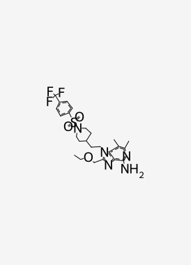 CCOCc1nc2c(N)nc(C)c(C)c2n1CCC1CCN(S(=O)(=O)c2ccc(C(F)(F)F)cc2)CC1